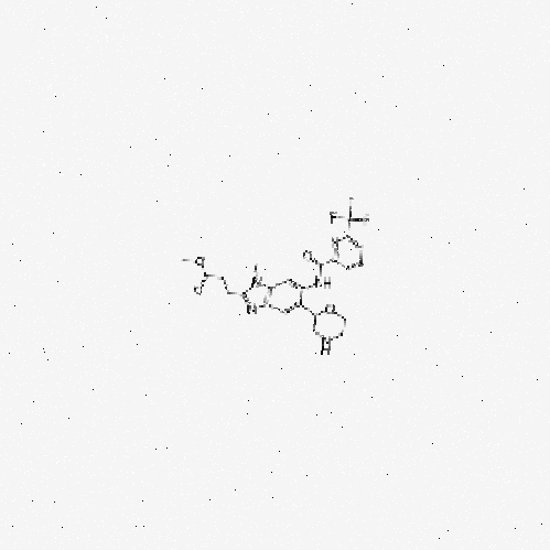 COC(=O)CCc1nc2cc(C3CNCCO3)c(NC(=O)c3cccc(C(F)(F)F)n3)cc2n1C